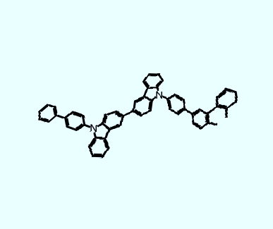 CC1=C(c2cc(-c3ccc(-n4c5ccccc5c5cc(-c6ccc7c(c6)c6ccccc6n7-c6ccc(-c7ccccc7)cc6)ccc54)cc3)ccc2C)C=CCC1